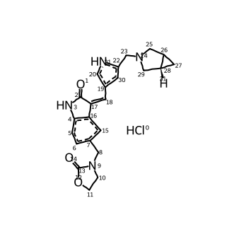 Cl.O=C1Nc2ccc(CN3CCOC3=O)cc2C1=Cc1c[nH]c(CN2CC3C[C@@H]3C2)c1